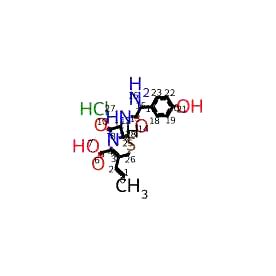 C/C=C/C1=C(C(=O)O)N2C(=O)[C@@H](NC(=O)C(N)c3ccc(O)cc3)[C@H]2SC1.Cl